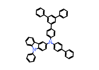 c1ccc(-c2ccc(N(c3ccc(-c4cc(-c5ccccc5)cc(-c5ccccc5)c4)cc3)c3ccc4c(c3)c3ccccc3n4-c3ccccc3)cc2)cc1